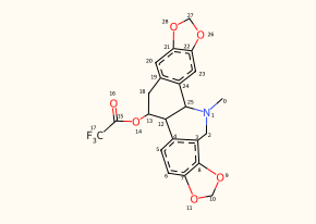 CN1Cc2c(ccc3c2OCO3)C2C(OC(=O)C(F)(F)F)Cc3cc4c(cc3C21)OCO4